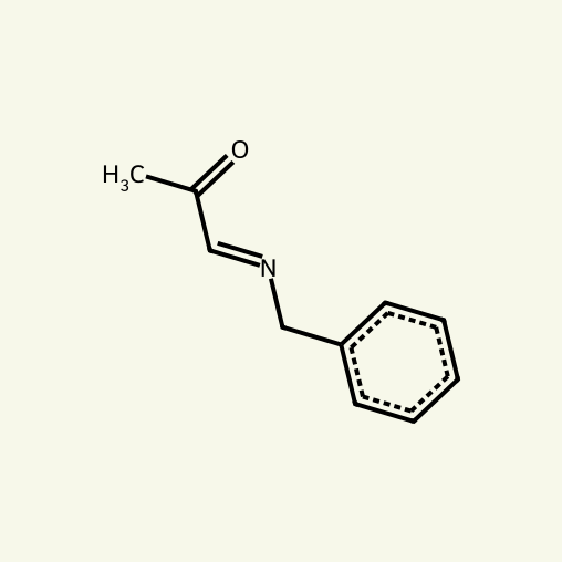 CC(=O)/C=N/Cc1ccccc1